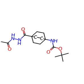 CC(=O)NNC(=O)C12CCC(NC(=O)OC(C)(C)C)(CC1)CC2